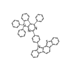 c1ccc(-c2nc(-c3ccc(-n4c5ccccc5c5ccc6c7ccccc7sc6c54)cc3)nc3c2-c2ccccc2[Si]3(c2ccccc2)c2ccccc2)cc1